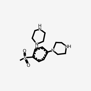 C1CNCCN1.CS(=O)(=O)c1ccc(N2CCNCC2)cc1